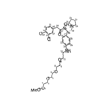 COOCCOCCOCCOCCNc1ccc([C@@H](CN2CCCC2)N(C)C(=O)Cc2ccc(Cl)c(Cl)c2)cc1